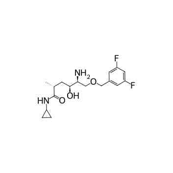 C[C@H](C[C@H](O)[C@@H](N)COCc1cc(F)cc(F)c1)C(=O)NC1CC1